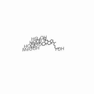 COC1C(O)C(C)OC(OC2C(OC3CCC4(C)C(C3)C(=O)C=C3C4CCC4(C)C3CCC4C(C)CCCC(C)CO)OC(CO)C(O)C2O)C1O